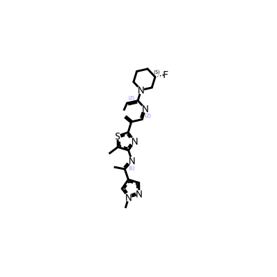 C=C(/C=N\C(=C/C)N1CCC[C@H](F)C1)c1nc(/N=C(\C)c2cnn(C)c2)c(C)s1